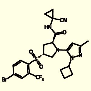 Cc1cc(N2C[C@H](S(=O)(=O)c3ccc(Br)cc3C(F)(F)F)C[C@H]2C(=O)NC2(C#N)CC2)n(C2CCC2)n1